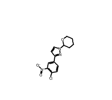 O=[N+]([O-])c1cc(-c2ccn(C3CCCCO3)n2)ccc1Cl